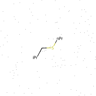 C[CH]CSCC(C)C